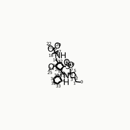 CCCC[C@]1(CC)CS(=O)(=O)c2cc(CNC(C)(C)C(=O)OC)c(OC)cc2[C@@H](c2ccccc2)N1